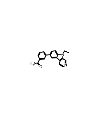 CCn1c2ccc(-c3cccc(C(N)=O)c3)cc2c2ccncc21